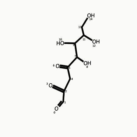 O=CC(=O)CC(=O)C(O)C(O)C(O)CO